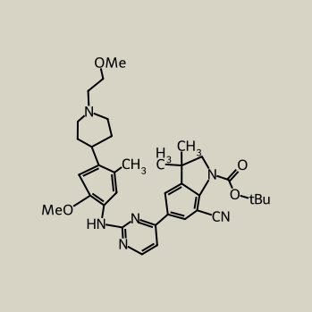 COCCN1CCC(c2cc(OC)c(Nc3nccc(-c4cc(C#N)c5c(c4)C(C)(C)CN5C(=O)OC(C)(C)C)n3)cc2C)CC1